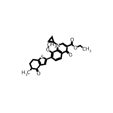 CCOC(=O)c1cn(C2CC2)c2c(OC)c(-c3cc4c(s3)CCC(C)C4=O)ccc2c1=O